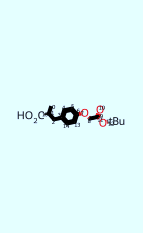 C[C@@H](Cc1ccc(OCC(=O)OC(C)(C)C)cc1)C(=O)O